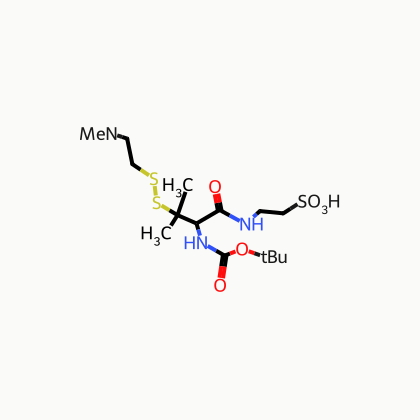 CNCCSSC(C)(C)C(NC(=O)OC(C)(C)C)C(=O)NCCS(=O)(=O)O